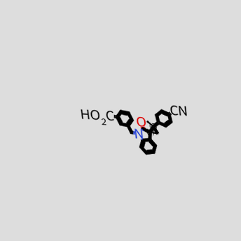 C[C@@]1(C2C=CC(C#N)=CC2)C[C@@]12C(=O)N(Cc1cccc(C(=O)O)c1)c1ccccc12